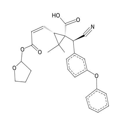 CC1(C)[C@H](/C=C\C(=O)OC2CCCO2)[C@@]1(C(=O)O)[C@@H](C#N)c1cccc(Oc2ccccc2)c1